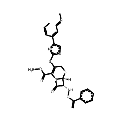 BOC(=O)C1=C(Sc2nc(C(/C=C\C)=C/C=N/C)cs2)CS[C@@H]2[C@H](NOC(=C)c3ccccc3)C(=O)N12